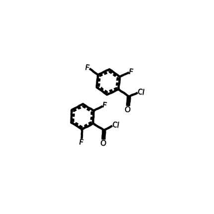 O=C(Cl)c1c(F)cccc1F.O=C(Cl)c1ccc(F)cc1F